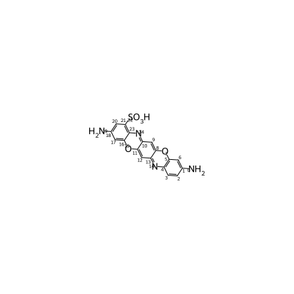 Nc1ccc2c(c1)Oc1cc3c(cc1=N2)Oc1cc(N)cc(S(=O)(=O)O)c1N=3